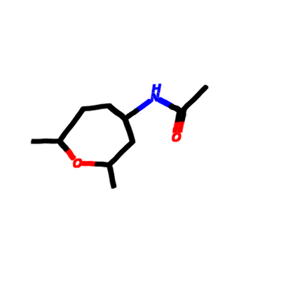 CC(=O)NC1CCC(C)OC(C)C1